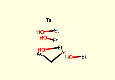 CC(=O)CC(C)=O.CCO.CCO.CCO.CCO.[Ta]